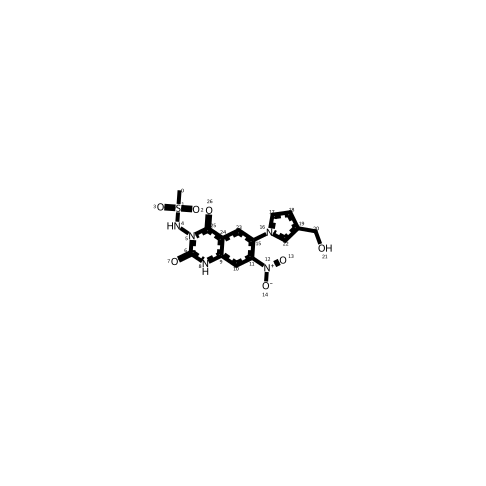 CS(=O)(=O)Nn1c(=O)[nH]c2cc([N+](=O)[O-])c(-n3ccc(CO)c3)cc2c1=O